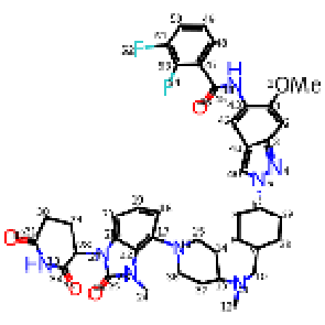 COc1cc2nn([C@H]3CC[C@H](CN(C)C4CCN(c5cccc6c5n(C)c(=O)n6C5CCC(=O)NC5=O)CC4)CC3)cc2cc1NC(=O)c1cccc(F)c1F